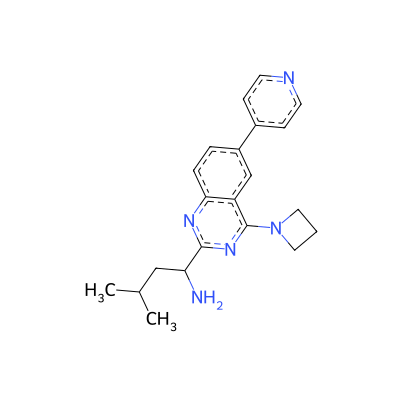 CC(C)CC(N)c1nc(N2CCC2)c2cc(-c3ccncc3)ccc2n1